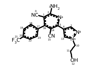 N#Cc1c(N)nc(-c2cnn(CCO)c2)c(C#N)c1-c1ccc(C(F)(F)F)cc1